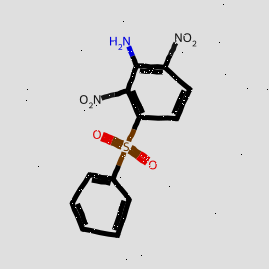 Nc1c([N+](=O)[O-])ccc(S(=O)(=O)c2ccccc2)c1[N+](=O)[O-]